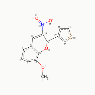 COc1cccc2c1OC(c1ccsc1)C([N+](=O)[O-])=C2